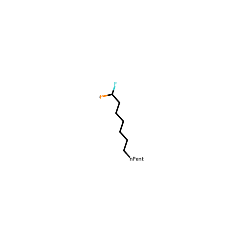 CCCCCCCCCCCC(F)[P]